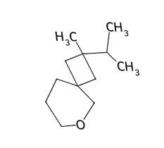 CC(C)C1(C)CC2(CCCOC2)C1